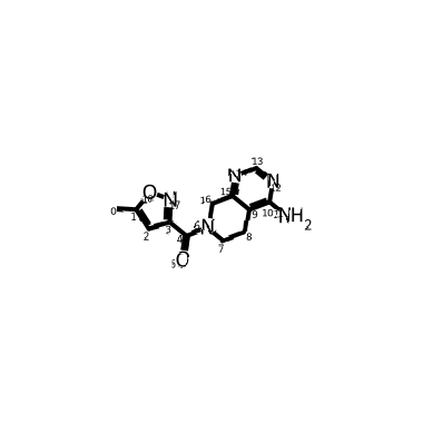 Cc1cc(C(=O)N2CCc3c(N)ncnc3C2)no1